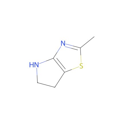 Cc1nc2c(s1)CCN2